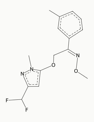 CON=C(COc1cc(C(F)F)nn1C)c1cccc(C)c1